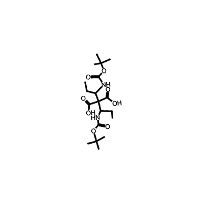 CCC(NC(=O)OC(C)(C)C)C(C(=O)O)(C(=O)O)C(CC)NC(=O)OC(C)(C)C